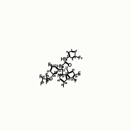 O=C(Nc1cccc(F)c1)N[C@](Cc1ccc(F)c(F)c1)(c1cc(F)cc(OC(F)(F)C(F)F)c1)c1ccc(I)cn1